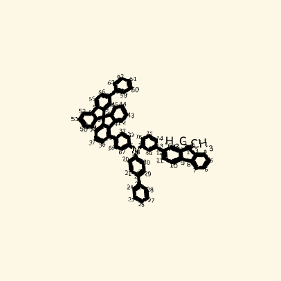 CC1(C)c2ccccc2-c2ccc(-c3cccc(N(c4ccc(-c5ccccc5)cc4)c4ccc(-c5cccc6c5-c5ccccc5C65c6ccccc6-c6ccc(-c7ccccc7)cc65)cc4)c3)cc21